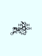 CC(=O)N[C@@H]1[C@@H](O)[C@H](O)[C@@H](CO)O[C@H]1NC(=O)N(CCCl)N=O